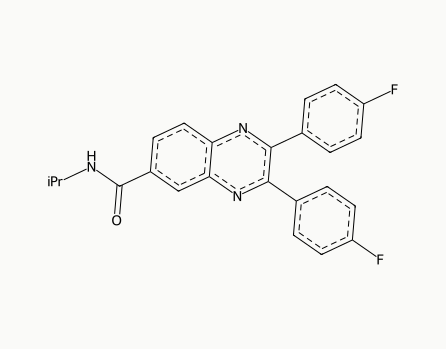 CC(C)NC(=O)c1ccc2nc(-c3ccc(F)cc3)c(-c3ccc(F)cc3)nc2c1